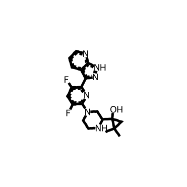 CC1(C)CC1(O)C1CN(c2nc(-c3n[nH]c4ncccc34)c(F)cc2F)CCN1